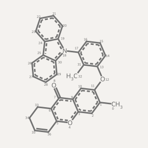 Cc1cc2oc3c(c(=O)c2cc1Oc1cccc(-n2c4ccccc4c4ccccc42)c1C)CCC=C3